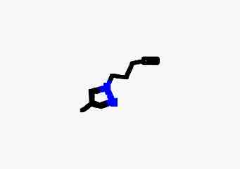 Cc1cnn(CCCC=O)c1